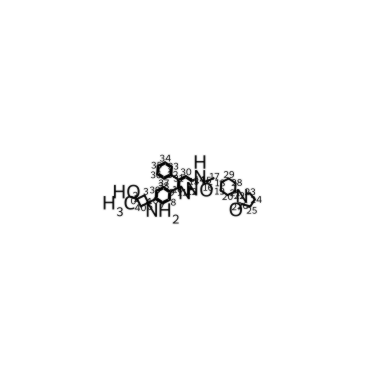 CC1(O)CC(N)(c2ccc(-c3nnc(NC(=O)C[C@H]4CC[C@H](N5CCCC5=O)CC4)cc3-c3ccccc3)cc2)C1